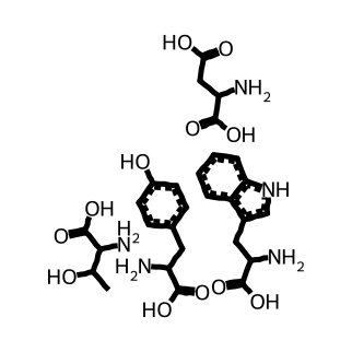 CC(O)C(N)C(=O)O.NC(CC(=O)O)C(=O)O.NC(Cc1c[nH]c2ccccc12)C(=O)O.NC(Cc1ccc(O)cc1)C(=O)O